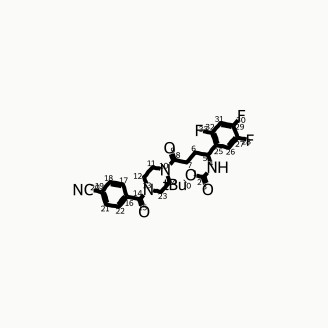 CC(C)(C)OC(=O)NC(CCC(=O)N1CCN(C(=O)c2ccc(C#N)cc2)CC1)c1cc(F)c(F)cc1F